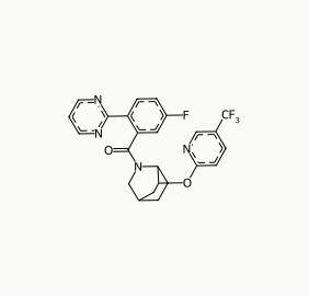 O=C(c1cc(F)ccc1-c1ncccn1)N1CC2CCC1C(Oc1ccc(C(F)(F)F)cn1)C2